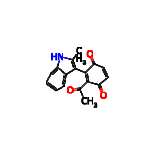 CC(=O)C1=C(c2c(C)[nH]c3ccccc23)C(=O)C=CC1=O